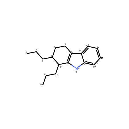 CCCC1CCC2=C([N]c3ccccc32)C1CCC